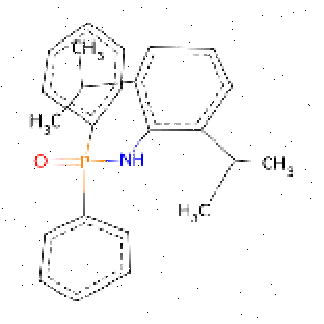 CC(C)c1cccc(C(C)C)c1NP(=O)(c1ccccc1)c1ccccc1